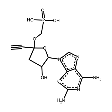 C#CC1(OCP(=O)(O)O)CC(O)C(n2cnc3c(N)nc(N)nc32)O1